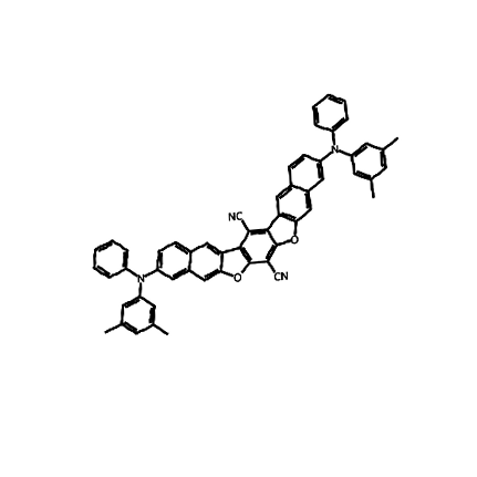 Cc1cc(C)cc(N(c2ccccc2)c2ccc3cc4c(cc3c2)oc2c(C#N)c3oc5cc6cc(N(c7ccccc7)c7cc(C)cc(C)c7)ccc6cc5c3c(C#N)c24)c1